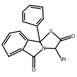 CC(C)C1C(=O)SC2(c3ccccc3)c3ccccc3C(=O)N12